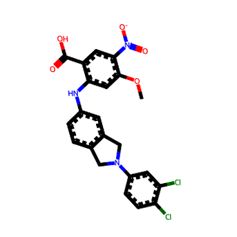 COc1cc(Nc2ccc3c(c2)CN(c2ccc(Cl)c(Cl)c2)C3)c(C(=O)O)cc1[N+](=O)[O-]